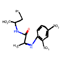 CC(C)CC(NC(=O)C(C)Nc1ccc([N+](=O)[O-])cc1[N+](=O)[O-])C(=O)O